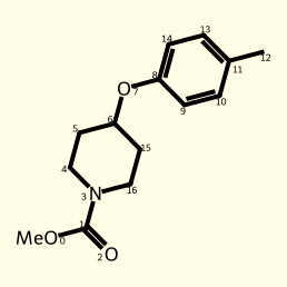 COC(=O)N1CCC(Oc2ccc(C)cc2)CC1